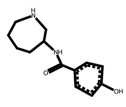 O=C(NC1CCCCNC1)c1ccc(O)cc1